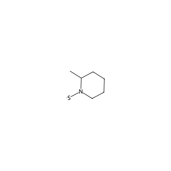 CC1CCCCN1[S]